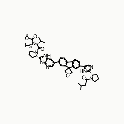 COC(=O)N(SI)[C@H](C(=O)N1CCC[C@H]1c1nc2ncc(-c3ccc4c(c3)C3(COC3)c3cc(-c5cnc([C@@H]6CCCN6C(=O)CC(C)C)[nH]5)ccc3-4)cc2[nH]1)C(C)C